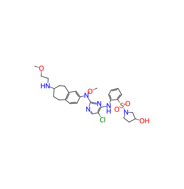 COCCNC1CCc2ccc(N(OC)c3ncc(Cl)c(Nc4ccccc4S(=O)(=O)N4CCC(O)C4)n3)cc2CC1